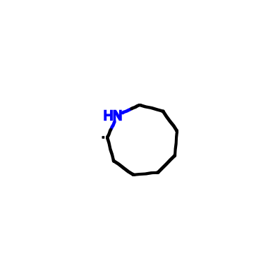 [CH]1CCCCCCCN1